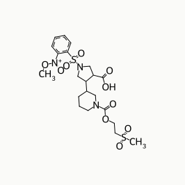 CO[N+](=O)c1ccccc1S(=O)(=O)N1CC(C(=O)O)C(C2CCCN(C(=O)OCCS(C)(=O)=O)C2)C1